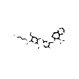 CCc1cc(Nc2ncc(Br)c(Nc3ccc4nccnc4c3P(C)C)n2)c(OC)nc1N(C)CCCOC